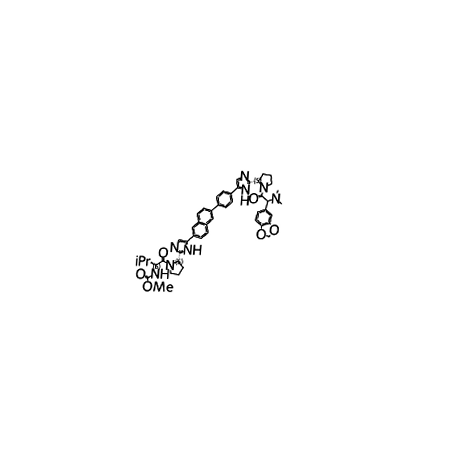 COC(=O)N[C@H](C(=O)N1CCC[C@H]1c1ncc(-c2ccc3cc(-c4ccc(-c5cnc([C@@H]6CCCN6C(=O)C(c6ccc7c(c6)OCO7)N(C)C)[nH]5)cc4)ccc3c2)[nH]1)C(C)C